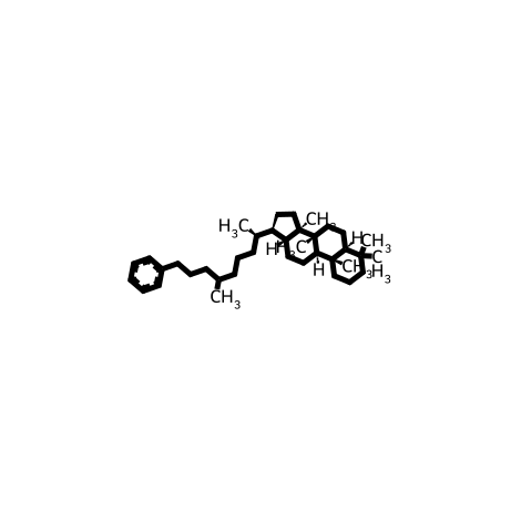 CC(CCCc1ccccc1)CCC[C@@H](C)[C@H]1CC[C@]2(C)[C@@H]1CC[C@@H]1[C@@]3(C)CCCC(C)(C)[C@@H]3CC[C@]12C